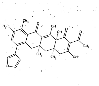 CC(=O)C1=C(O)C[C@@]2(C)C[C@@]3(C)Cc4c(-c5ccoc5)cc(C)c(C)c4C(=O)C3=C(O)[C@@]2(O)C1=O